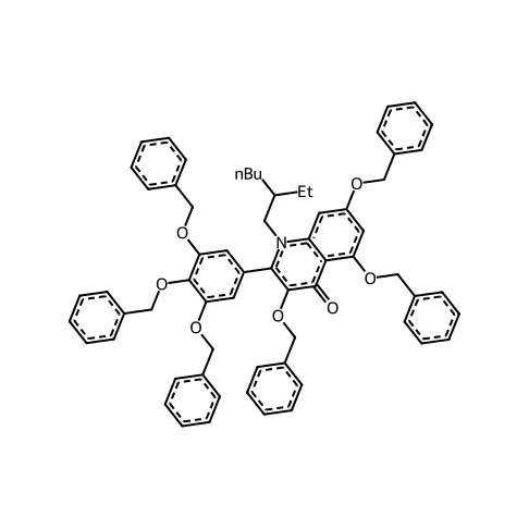 CCCCC(CC)Cn1c(-c2cc(OCc3ccccc3)c(OCc3ccccc3)c(OCc3ccccc3)c2)c(OCc2ccccc2)c(=O)c2c(OCc3ccccc3)cc(OCc3ccccc3)cc21